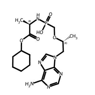 C[C@H](Cn1cnc2c(N)ncnc21)OCP(=O)(O)N[C@H](C)C(=O)OC1CCCCC1